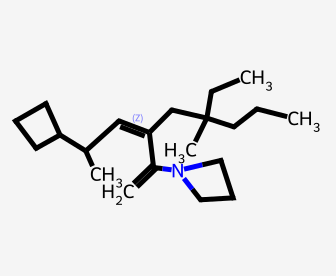 C=C(/C(=C\C(C)C1CCC1)CC(C)(CC)CCC)N1CCC1